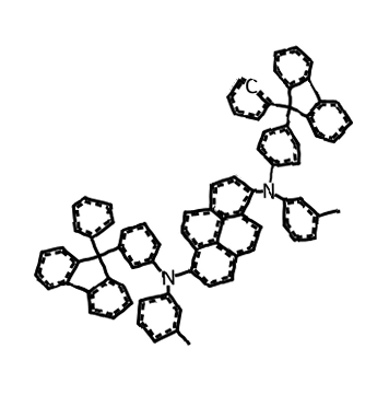 Cc1cccc(N(c2ccc(C3(c4ccccc4)c4ccccc4-c4ccccc43)cc2)c2ccc3ccc4c(N(c5cccc(C)c5)c5cccc(C6(c7ccccc7)c7ccccc7-c7ccccc76)c5)ccc5ccc2c3c54)c1